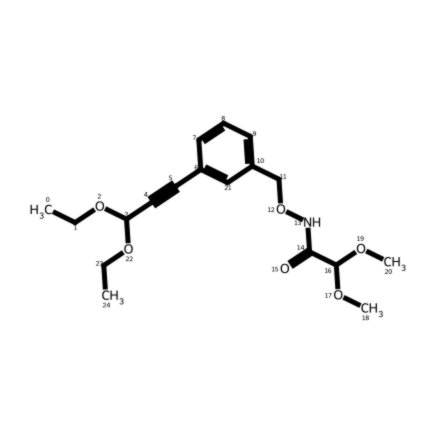 CCOC(C#Cc1cccc(CONC(=O)C(OC)OC)c1)OCC